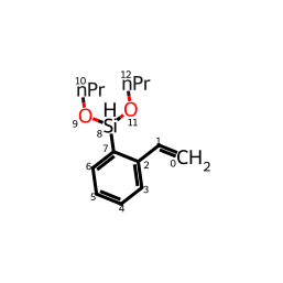 C=Cc1ccccc1[SiH](OCCC)OCCC